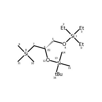 CC[Si](CC)(CC)OC[C@@H](C[Si](C)(C)C)O[Si](C)(C)C(C)(C)C